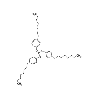 CCCCCCCCC1=CC=C(OP(Oc2ccc(CCCCCCCC)cc2)Oc2ccc(CCCCCCCC)cc2)CC=C1